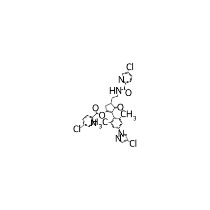 Cc1cc(-n2cc(Cl)cn2)cc(C)c1C1=C(OC(=O)c2ccc(Cl)cn2)CC(CCNC(=O)c2ccc(Cl)cn2)C1=O